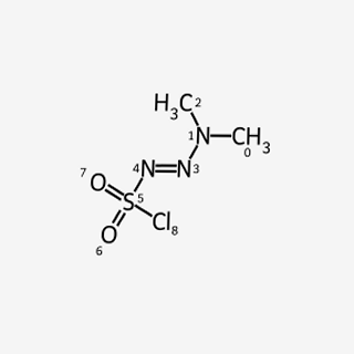 CN(C)N=NS(=O)(=O)Cl